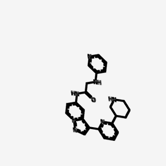 O=C(CNc1cccnc1)Nc1ccn2ncc(-c3cccc(C4CCCNC4)n3)c2c1